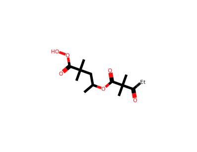 CCC(=O)C(C)(C)C(=O)OC(C)CC(C)(C)C(=O)OO